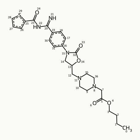 CCCCOC(=O)CN1CCN(CC2CN(c3ccc(C(=N)NC(=O)c4cccs4)cc3)C(=O)O2)CC1